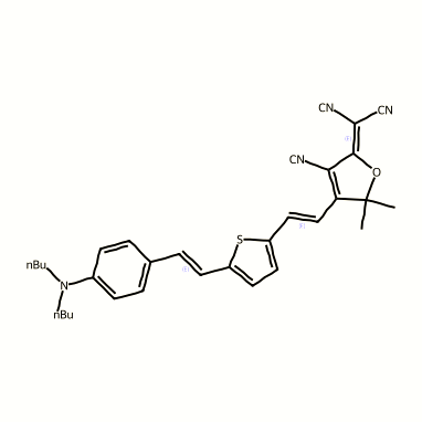 [C-]#[N+]C1=C(/C=C/c2ccc(/C=C/c3ccc(N(CCCC)CCCC)cc3)s2)C(C)(C)O/C1=C(\C#N)[N+]#[C-]